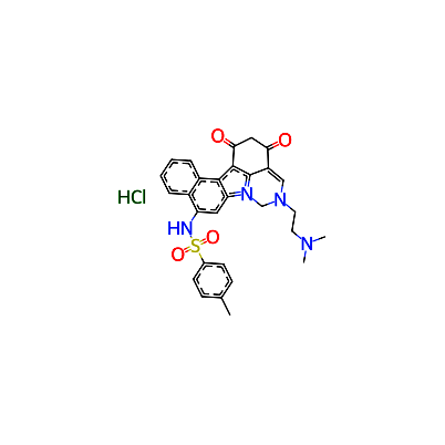 Cc1ccc(S(=O)(=O)Nc2cc3c(c4c5n3CN(CCN(C)C)C=C5C(=O)CC4=O)c3ccccc23)cc1.Cl